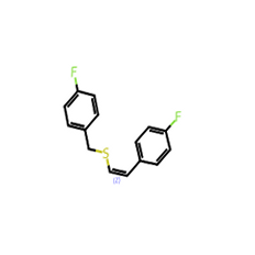 Fc1ccc(/C=C\SCc2ccc(F)cc2)cc1